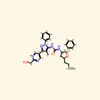 COCCC1C[C@@H](NC(=O)Nc2c(C)c(-c3cnc(CO)nc3)nn2-c2ccccc2)[C@H](c2ccccc2)O1